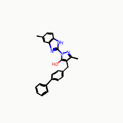 Cc1ccc2[nH]c(-n3nc(C)c(Cc4ccc(-c5ccccc5)cc4)c3O)nc2c1